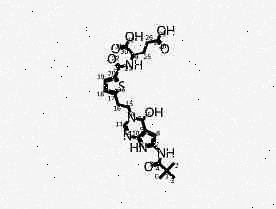 CC(C)(C)C(=O)Nc1cc2c([nH]1)N=CN(CCc1ccc(C(=O)N[C@H](CCC(=O)O)C(=O)O)s1)C2O